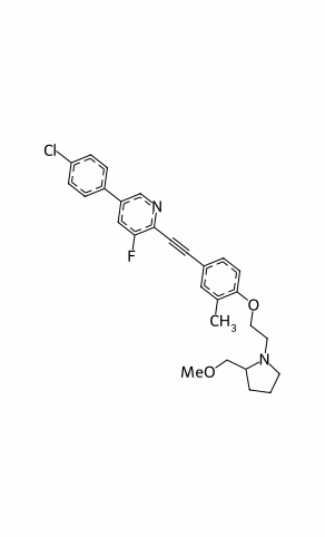 COCC1CCCN1CCOc1ccc(C#Cc2ncc(-c3ccc(Cl)cc3)cc2F)cc1C